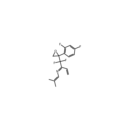 C=C/C(=N\C=C(C)C)C(F)(F)C1(c2ccc(F)cc2F)CO1